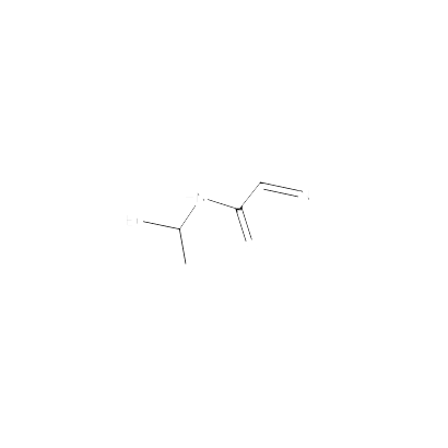 [CH2]CC(C)NC(=O)C=N